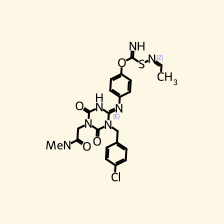 C/C=N\SC(=N)Oc1ccc(/N=c2\[nH]c(=O)n(CC(=O)NC)c(=O)n2Cc2ccc(Cl)cc2)cc1